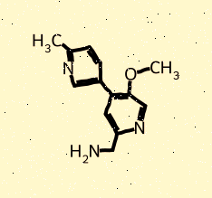 COc1cnc(CN)cc1-c1ccc(C)nc1